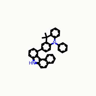 CC1(C)c2ccccc2N(c2ccccc2)c2ccc(-c3cccc4[nH]c5ccc6ccccc6c5c34)cc21